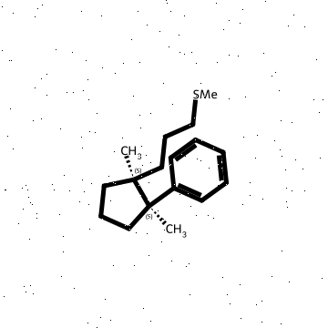 CSCCC[C@]1(C)CCC[C@]1(C)c1ccccc1